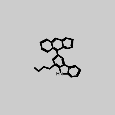 CCCCc1cc(-c2c3ccccc3cc3ccccc23)cc2c1[nH]c1ccccc12